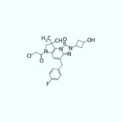 CC1(C)CN(C(=O)CCl)c2cc(Cc3ccc(F)cc3)c3nn(C4CC(O)C4)c(=O)n3c21